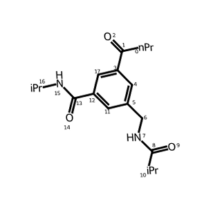 CCCC(=O)c1cc(CNC(=O)C(C)C)cc(C(=O)NC(C)C)c1